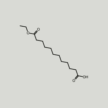 CCOC(=O)CCCCCCCCCCC(=O)O